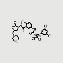 O=C(NN1CC(CN2CCOCC2)OC1=O)c1cc(NC(=O)[C@@H]2[C@@H](c3cc(Cl)cc(Cl)c3)C2(Cl)Cl)ccc1Cl